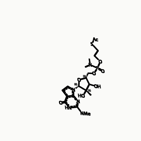 CNc1nc2c(ccn2[C@@H]2O[C@H](COP(=O)(OCCSC(C)=O)N(C)C)C(O)[C@]2(C)O)c(=O)[nH]1